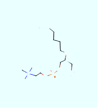 CCCCCCCCCCCCCCO[C@@H](CO)COP(=O)([O-])OCC[N+](C)(C)C